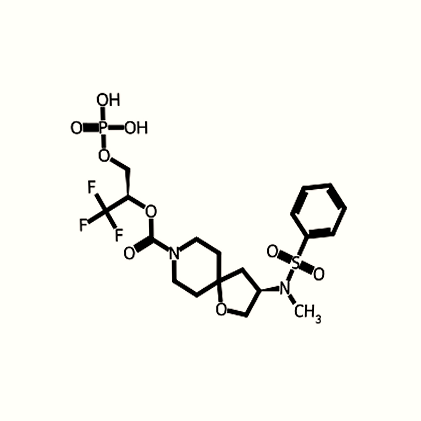 CN([C@H]1COC2(CCN(C(=O)O[C@H](COP(=O)(O)O)C(F)(F)F)CC2)C1)S(=O)(=O)c1ccccc1